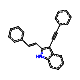 C(#Cc1c(/C=C/c2ccccc2)[nH]c2ccccc12)c1ccccc1